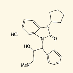 CNCC(O)C(c1ccccc1)n1c(=O)n(C2CCCC2)c2ccccc21.Cl